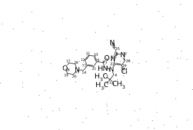 CC(C)(C)CN(NC(=O)c1cccc(CN2CCOCC2)c1)c1nc(C#N)ncc1Cl